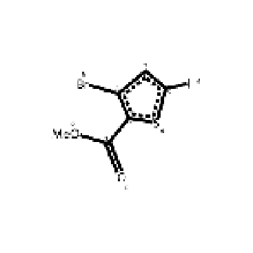 COC(=O)c1sc(I)cc1Br